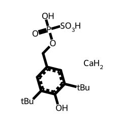 CC(C)(C)c1cc(COP(=O)(O)S(=O)(=O)O)cc(C(C)(C)C)c1O.[CaH2]